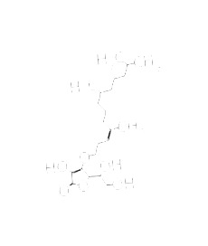 CC(=CCCOC1=C(O)C(=O)OC1C(O)CO)CCCC(C)CCCC(C)C